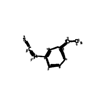 FC(F)(F)Oc1cccc(N=C=S)c1